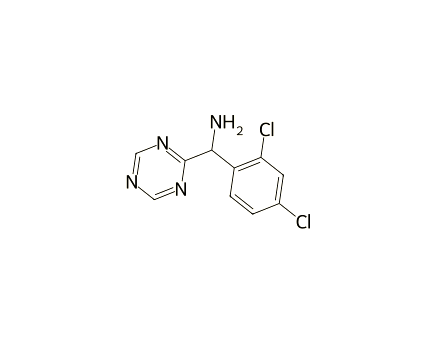 NC(c1ncncn1)c1ccc(Cl)cc1Cl